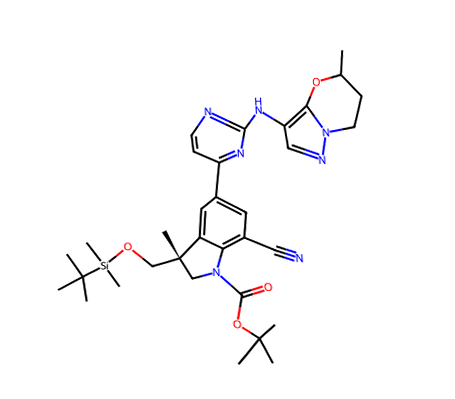 CC1CCn2ncc(Nc3nccc(-c4cc(C#N)c5c(c4)[C@@](C)(CO[Si](C)(C)C(C)(C)C)CN5C(=O)OC(C)(C)C)n3)c2O1